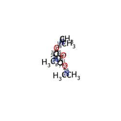 CN(C)CCOc1ccc2c(c1)c(=O)c1cc(OCCN(C)C)ccc1n2C